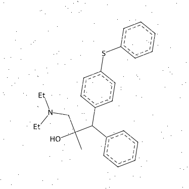 CCN(CC)CC(C)(O)C(c1ccccc1)c1ccc(Sc2ccccc2)cc1